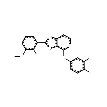 COc1cccc(-c2nc3c(Nc4ccc(F)c(Cl)c4)nccc3[nH]2)c1F